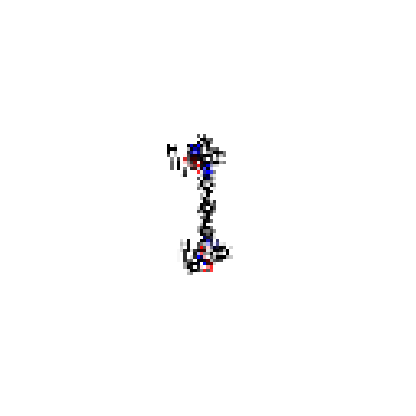 COc1c(C(=O)N(C)c2ccccc2)cc2ccccc2c1N=Nc1ccc(C=Cc2ccc(C=Cc3ccc(N=Nc4c(OC)c(C(=O)N(C)c5ccccc5)cc5ccccc45)cc3)cc2)cc1